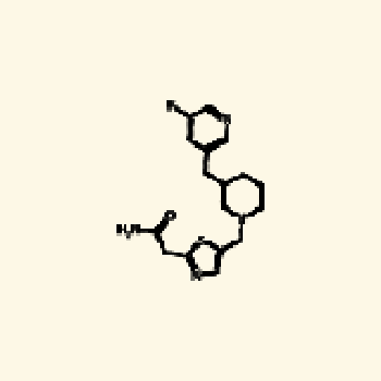 NC(=O)Cc1ncc(CN2CCCC(Cc3cncc(F)c3)C2)s1